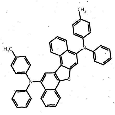 Cc1ccc(N(c2ccccc2)c2cc3c(sc4cc(N(c5ccccc5)c5ccc(C)cc5)c5ccccc5c43)c3ccccc23)cc1